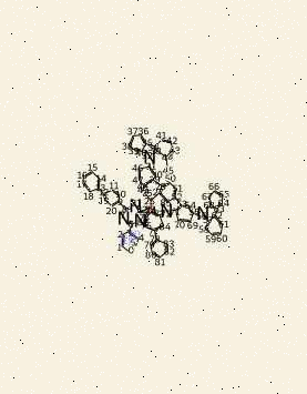 C/C=C\C(=C/C)c1nc(-c2ccc(-c3ccccc3)cc2)nc(C(C)C(C)c2c(-c3cc(-n4c5c(c6ccccc64)C=CCC5C)ccc3C)ccc3c4cc(-n5c6ccccc6c6ccccc65)ccc4n(-c4cccc(-c5ccccc5)c4)c23)n1